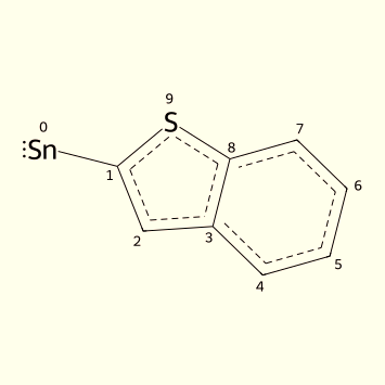 [Sn][c]1cc2ccccc2s1